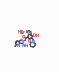 Br.Cc1ccc2c(n1)C(=N)N(CC(=O)c1cc(CN3CCCCCC3=O)c(O)c(C(C)(C)C)c1)C2